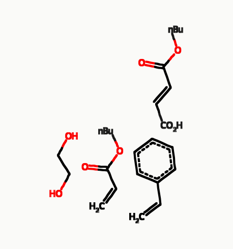 C=CC(=O)OCCCC.C=Cc1ccccc1.CCCCOC(=O)C=CC(=O)O.OCCO